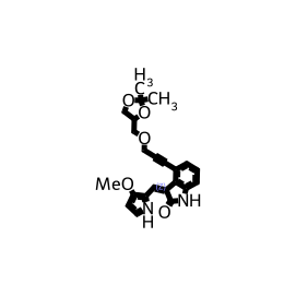 COc1cc[nH]c1/C=C1\C(=O)Nc2cccc(C#CCOCC3COC(C)(C)O3)c21